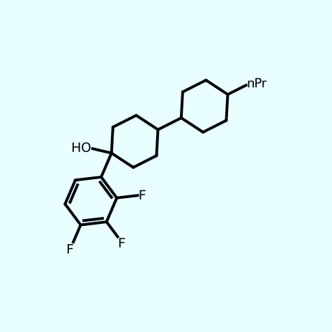 CCCC1CCC(C2CCC(O)(c3ccc(F)c(F)c3F)CC2)CC1